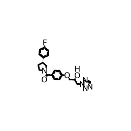 O=C(c1ccc(OCC(O)Cn2ncnn2)cc1)N1CC[C@H](c2ccc(F)cc2)C1